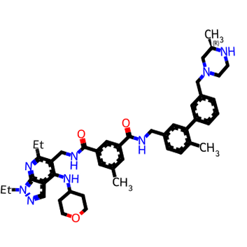 CCc1nc2c(cnn2CC)c(NC2CCOCC2)c1CNC(=O)c1cc(C)cc(C(=O)NCc2ccc(C)c(-c3cccc(CN4CCN[C@H](C)C4)c3)c2)c1